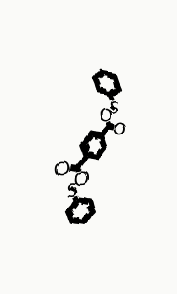 O=C(OSc1ccccc1)c1ccc(C(=O)OSc2ccccc2)cc1